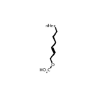 CCCCCCCCCC=CCOC(=O)O